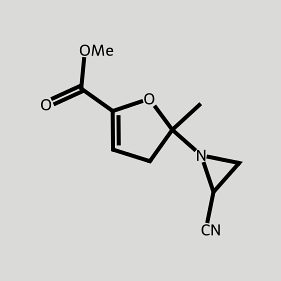 COC(=O)C1=CCC(C)(N2CC2C#N)O1